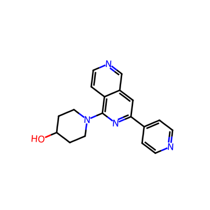 OC1CCN(c2nc(-c3ccncc3)cc3cnccc23)CC1